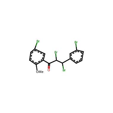 COc1ccc(Br)cc1C(=O)C(Br)C(Br)c1cccc(Br)c1